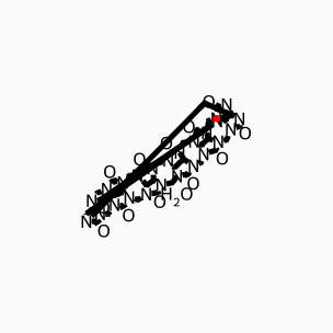 O.O=C1N2CN3C(=O)N4CN5C(=O)N6CN7C(=O)N8CN9C(=O)N%10CN%11C(=O)N%12CN1C1C2N2CN%13C(=O)N(CN%14C(=O)N(CN%15C(=O)N(CN%16C(=O)N(CN%17C(=O)N(CN1C2=O)C%12C%11%17)C%10C9%16)C8C7%15)C6C5%14)C4C3%13